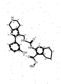 CC(C)(C)OC(=O)c1c(NC(=O)NCc2c(-c3cccc(O)c3)sc3c2CCNC3)sc2c1CCCC2